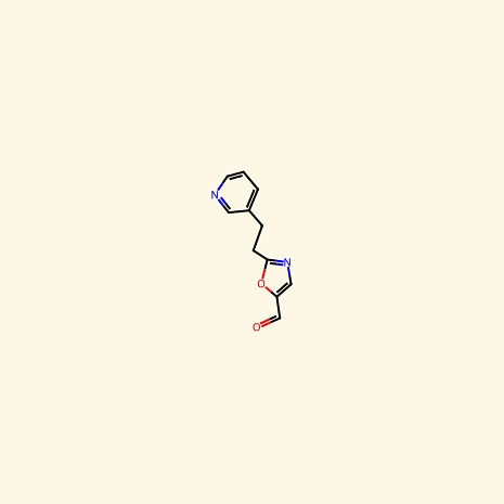 O=Cc1cnc(CCc2cccnc2)o1